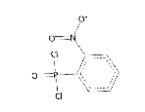 O=[N+]([O-])c1ccccc1P(=O)(Cl)Cl